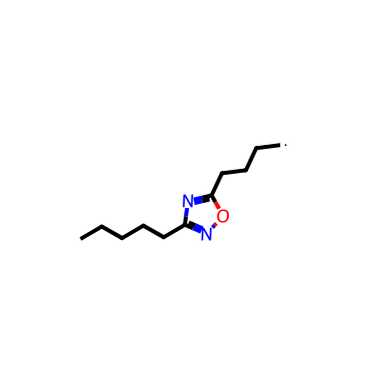 [CH2]CCCc1nc(CCCCC)no1